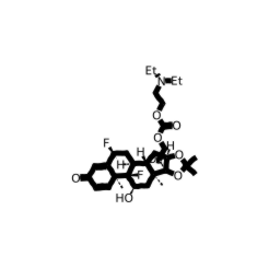 CCN(CC)CCOC(=O)OCC(=O)[C@@]12OC(C)(C)O[C@@H]1C[C@H]1[C@@H]3C[C@H](F)C4=CC(=O)C=C[C@]4(C)[C@@]3(F)[C@@H](O)C[C@@]12C